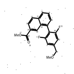 COCc1cc(F)c(-c2cccc3ccc(C(=O)OC)cc23)c(F)c1